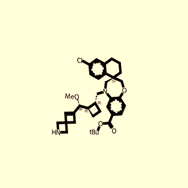 CO[C@@H](C1=CC2(CNC2)C1)[C@@H]1CC[C@H]1CN1C[C@@]2(CCCc3cc(Cl)ccc32)COc2ccc(C(=O)OC(C)(C)C)cc21